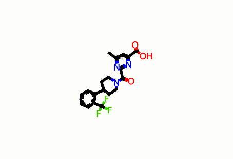 Cc1cc(C(=O)O)nc(C(=O)N2CCC(c3ccccc3C(F)(F)F)CC2)n1